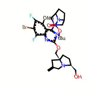 C=C1CN2[C@H](CO)CC[C@@]2(COc2nc(N3CC4CCC(C3)N4C(=O)OC(C)(C)C)c3c(OC)c(F)c(Br)c(F)c3n2)C1